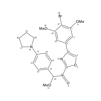 COc1cc(-c2coc(C(=O)C(OC)c3ccc(N4CCCC4)cc3)n2)cc(OC)c1Br